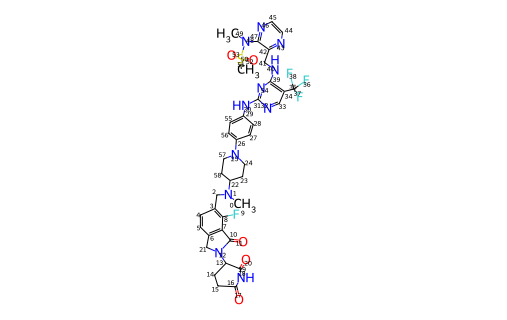 CN(Cc1ccc2c(c1F)C(=O)N(C1CCC(=O)NC1=O)C2)C1CCN(c2ccc(Nc3ncc(C(F)(F)F)c(NCc4nccnc4N(C)S(C)(=O)=O)n3)cc2)CC1